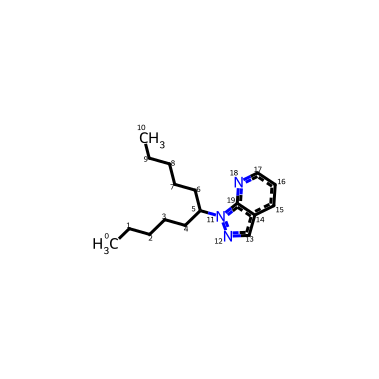 CCCCCC(CCCCC)n1ncc2cccnc21